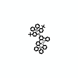 CC(C)(C)c1ccc2c(c1)[Si](c1ccccc1)(c1ccccc1)c1cc(C(C)(C)C)ccc1N2c1cc(-c2cccc3c2Oc2ccccc2[Si]3(c2ccccc2)c2ccccc2)c2oc3ccccc3c2c1